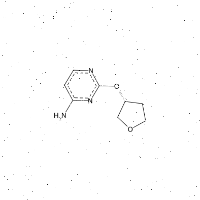 Nc1ccnc(O[C@@H]2CCOC2)n1